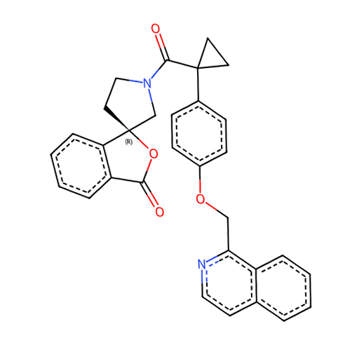 O=C1O[C@]2(CCN(C(=O)C3(c4ccc(OCc5nccc6ccccc56)cc4)CC3)C2)c2ccccc21